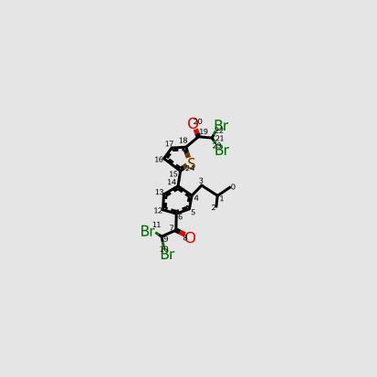 CC(C)Cc1cc(C(=O)C(Br)Br)ccc1-c1ccc(C(=O)C(Br)Br)s1